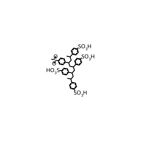 CC(CC(CC(CC(CC(C)c1ccc(S(=O)(=O)O)cc1)c1ccc(S(=O)(=O)O)cc1)c1ccc(S(=O)(=O)O)cc1)c1ccc(S(C)(=O)=O)cc1)c1ccc(S(=O)(=O)O)cc1